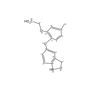 Cc1ccc(Oc2ccc3c(c2)COB3)c(OCC(=O)O)c1